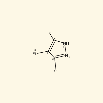 CCc1c(C)n[nH]c1C